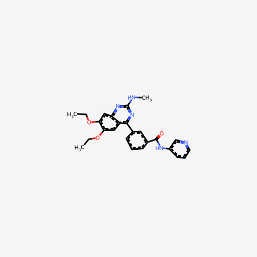 CCOc1cc2nc(NC)nc(-c3cccc(C(=O)Nc4cccnc4)c3)c2cc1OCC